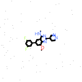 CNc1nc(-c2ccnnc2)nc2c(OC)cc(-c3cc(F)cc(F)c3)cc12